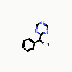 N#CC(c1ccccc1)c1ncncn1